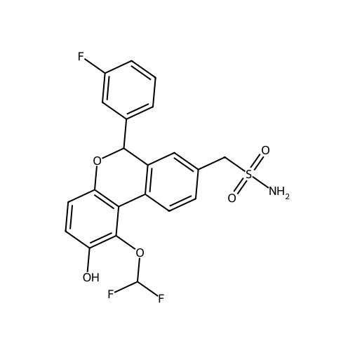 NS(=O)(=O)Cc1ccc2c(c1)C(c1cccc(F)c1)Oc1ccc(O)c(OC(F)F)c1-2